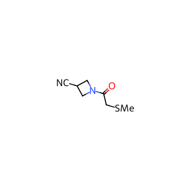 CSCC(=O)N1CC(C#N)C1